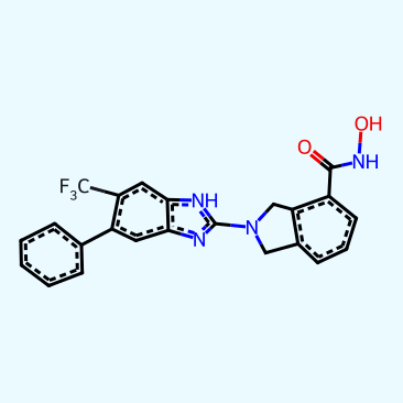 O=C(NO)c1cccc2c1CN(c1nc3cc(-c4ccccc4)c(C(F)(F)F)cc3[nH]1)C2